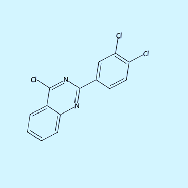 Clc1ccc(-c2nc(Cl)c3ccccc3n2)cc1Cl